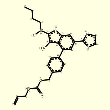 C=CCNC(=O)OCc1ccc(-c2cc(-c3nccs3)cc3sc([S+]([O-])CCCC)c(N)c23)cc1